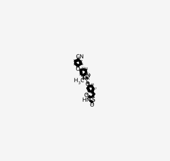 Cn1c(COc2ccc(CC3SC(=O)NC3=O)cc2)nc2ccc(Oc3ccc(C#N)cc3)cc21